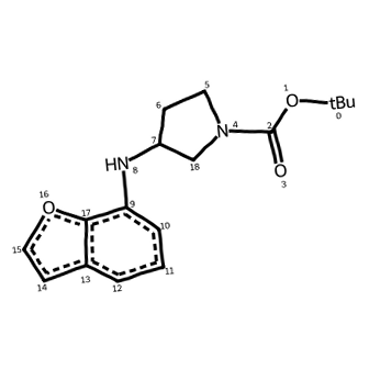 CC(C)(C)OC(=O)N1CCC(Nc2cccc3ccoc23)C1